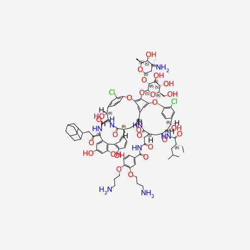 CC[C@H](CC(C)C)C(=O)N[C@H]1C(=O)C[C@@H](CC(=O)NC(=O)c2ccc(OCCCN)c(OCCCN)c2)C(=O)N[C@H]2C(=O)C[C@H]3C(=O)N[C@H](C(=O)N[C@H](C(=O)CC4C5CC6CC(C5)CC4C6)c4cc(O)cc(O)c4-c4cc3ccc4O)[C@H](O)c3ccc(c(Cl)c3)Oc3cc2cc(c3O[C@@H]2O[C@H](CO)[C@@H](O)[C@H](O)[C@H]2O[C@H]2C[C@](C)(N)[C@H](O)[C@H](C)O2)Oc2ccc(cc2Cl)[C@H]1O